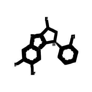 Fc1cc2nc3c(n2cc1Br)[C@@H](c1ccccc1Cl)CC3F